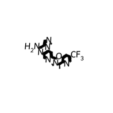 C[C@H](c1ccc(C(F)(F)F)cn1)N(C)C(=O)c1cc2c(cn1)nc(N)c1cncn12